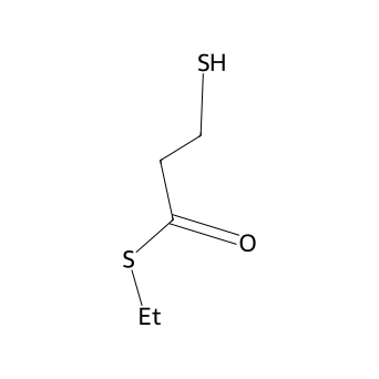 CCSC(=O)CCS